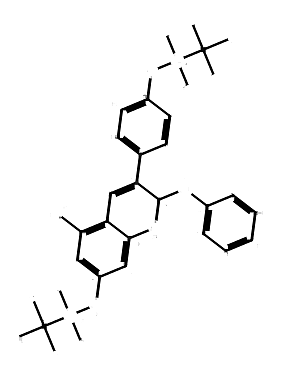 CC(C)(C)[Si](C)(C)Oc1ccc(C2=Cc3c(Cl)cc(O[Si](C)(C)C(C)(C)C)cc3OC2Oc2ccccc2)cc1